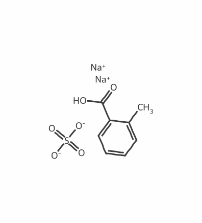 Cc1ccccc1C(=O)O.O=S(=O)([O-])[O-].[Na+].[Na+]